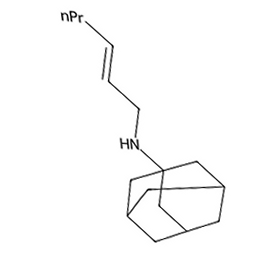 CCCC=CCNC12CC3CC(CC(C3)C1)C2